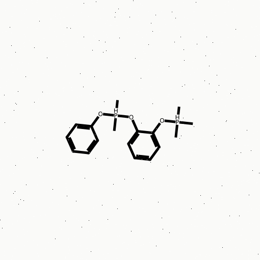 C[PH](C)(C)Oc1ccccc1O[PH](C)(C)Oc1ccccc1